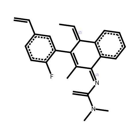 C=Cc1ccc(F)c(C2=C(C)C(=N\C(=C)N(C)C)/c3ccccc3/C2=C/C)c1